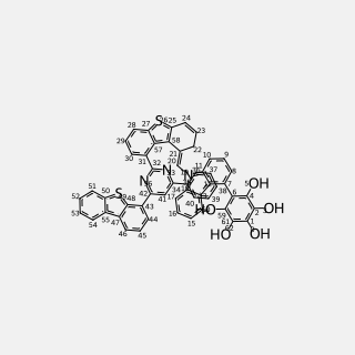 Oc1c(O)c(O)c(-c2cccc3c2c2ccccc2n3C=C2CC=Cc3sc4cccc(-c5nc(-c6ccccc6)cc(-c6cccc7c6sc6ccccc67)n5)c4c32)c(O)c1O